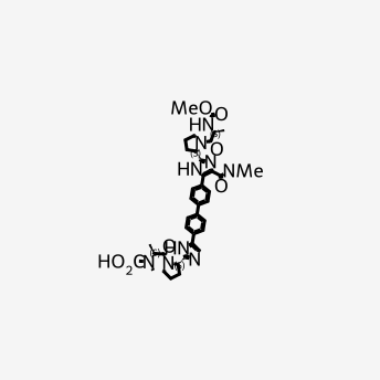 CNC(=O)c1nc([C@@H]2CCCN2C(=O)[C@H](C)NC(=O)OC)[nH]c1-c1ccc(-c2ccc(-c3cnc([C@@H]4CCCN4C(=O)[C@H](C)N(C)C(=O)O)[nH]3)cc2)cc1